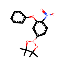 CC1(C)OB(c2ccc([N+](=O)[O-])c(Oc3ccccc3)c2)OC1(C)C